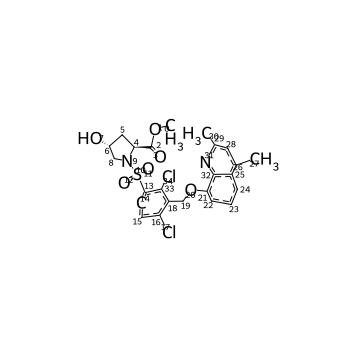 COC(=O)[C@@H]1C[C@@H](O)CN1S(=O)(=O)c1ccc(Cl)c(COc2cccc3c(C)cc(C)nc23)c1Cl